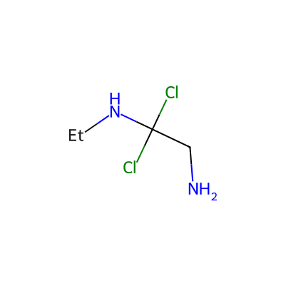 CCNC(Cl)(Cl)CN